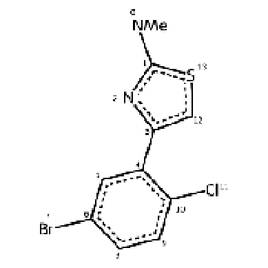 CNc1nc(-c2cc(Br)ccc2Cl)cs1